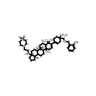 CC1(C)C(C2=CCC(COCc3ccccc3C#N)(C(=O)O)CC2)=CCC2(C)C1CCC1(C)C2CCC2[C@H]3CCCC3(NCCN3CCS(=O)(=O)CC3)CC[C@]21C